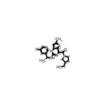 Cc1cc2nc(NC(C)c3cncc(F)c3)nc(C(=O)N3CCC(CO)C3)c2s1